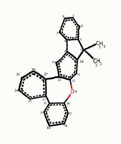 CC1(C)c2ccccc2-c2cc3c(cc21)Oc1ccccc1-c1ccccc1-3